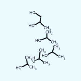 CC(C)O.CC(C)O.CC(C)O.CC(C)O.CC(O)CO